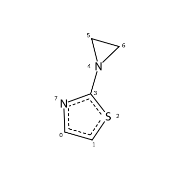 c1csc(N2CC2)n1